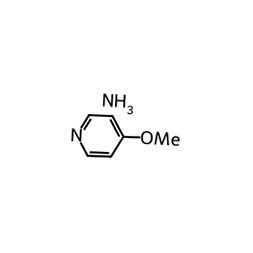 COc1ccncc1.N